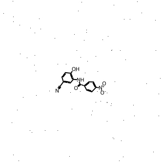 N#Cc1ccc(O)c(NC(=O)c2ccc([N+](=O)[O-])cc2)c1